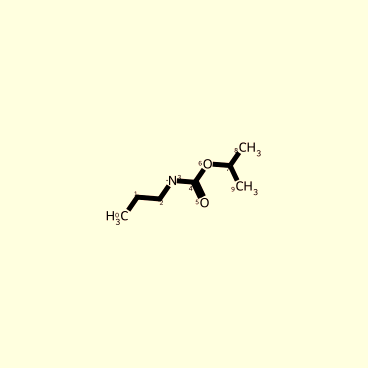 CCC[N]C(=O)OC(C)C